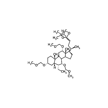 CC[C@H]1[C@@H](OCOC)C2C3CC[C@H]([C@H](C)C/C=C(/OC)O[Si](C)(C)C)[C@@]3(C)[C@@H](OCOC)CC2[C@@]2(C)CC[C@@H](OCOC)C[C@@H]12